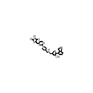 N#Cc1cc(CNCC2CCN(c3nccc(C=C4SC(=O)NC4=O)n3)CC2)cnc1-c1cccc2cnccc12